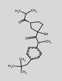 CN(C)C(=O)[C@H]1CCC(S)(C(=O)N(C)c2ccc(CC(C)(C)C)cc2)C1